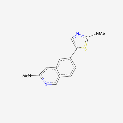 CNc1cc2cc(-c3cnc(NC)s3)ccc2cn1